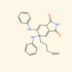 CC(=O)NCCCC1(Nc2ccccc2)C=C2C(=O)NC(=O)C2C=C1Nc1ccccc1